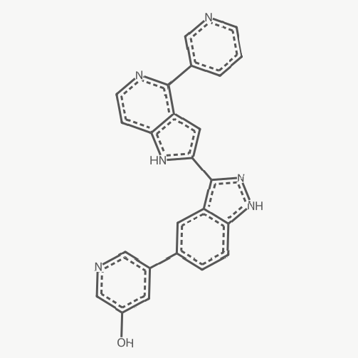 Oc1cncc(-c2ccc3[nH]nc(-c4cc5c(-c6cccnc6)nccc5[nH]4)c3c2)c1